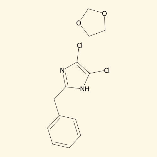 C1COCO1.Clc1nc(Cc2ccccc2)[nH]c1Cl